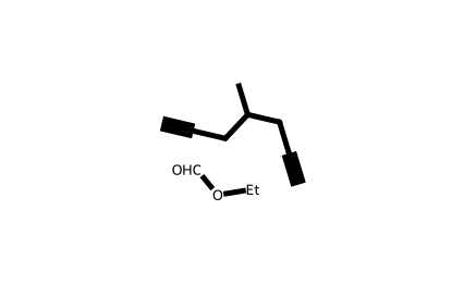 C#CCC(C)CC#C.CCOC=O